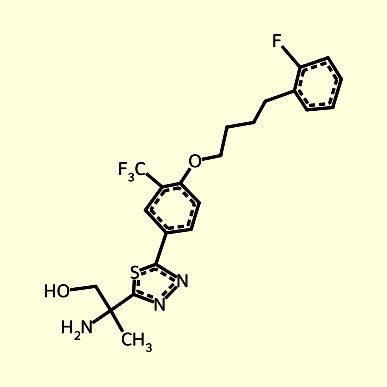 CC(N)(CO)c1nnc(-c2ccc(OCCCCc3ccccc3F)c(C(F)(F)F)c2)s1